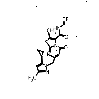 Cc1sc2nc(Cn3nc(C(F)(F)F)cc3C3CC3)cc(=O)n2c1C(=O)NCC(F)(F)F